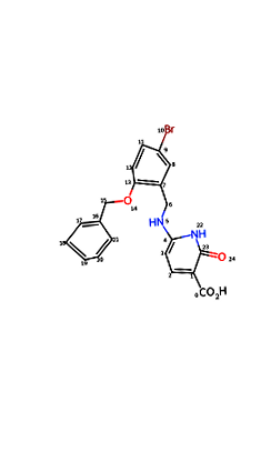 O=C(O)c1ccc(NCc2cc(Br)ccc2OCc2ccccc2)[nH]c1=O